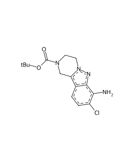 CC(C)(C)OC(=O)N1CCn2nc3c(N)c(Cl)ccc3c2C1